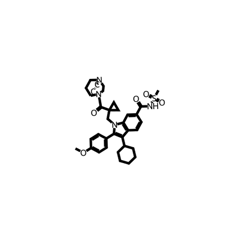 COc1ccc(-c2c(C3CCCCC3)c3ccc(C(=O)NS(C)(=O)=O)cc3n2CC2(C(=O)N3CCN4CCC3CC4)CC2)cc1